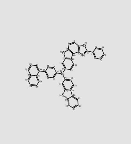 c1ccc(-c2nc3c(ccc4oc5cc(N(c6ccc(-c7cccc8ccccc78)cc6)c6ccc7c(c6)sc6ccccc67)ccc5c43)o2)cc1